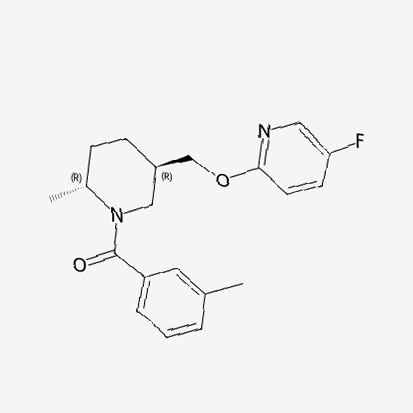 Cc1cccc(C(=O)N2C[C@H](COc3ccc(F)cn3)CC[C@H]2C)c1